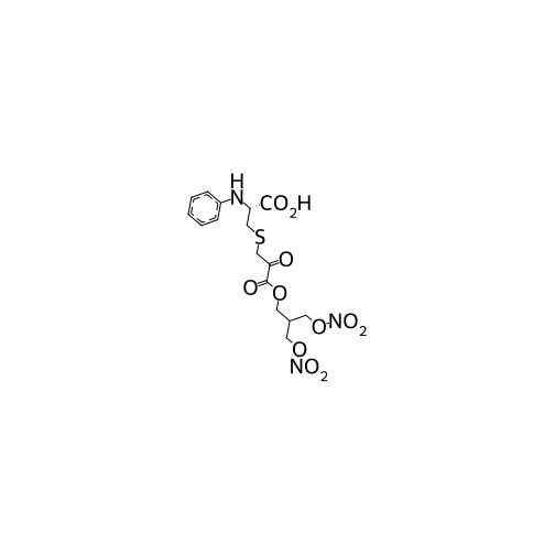 O=C(CSC[C@H](Nc1ccccc1)C(=O)O)C(=O)OCC(CO[N+](=O)[O-])CO[N+](=O)[O-]